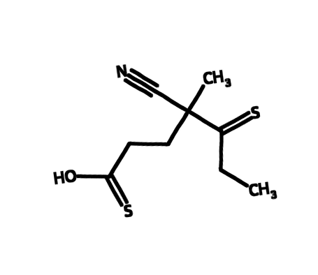 CCC(=S)C(C)(C#N)CCC(O)=S